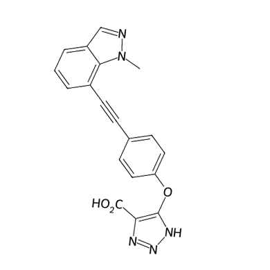 Cn1ncc2cccc(C#Cc3ccc(Oc4[nH]nnc4C(=O)O)cc3)c21